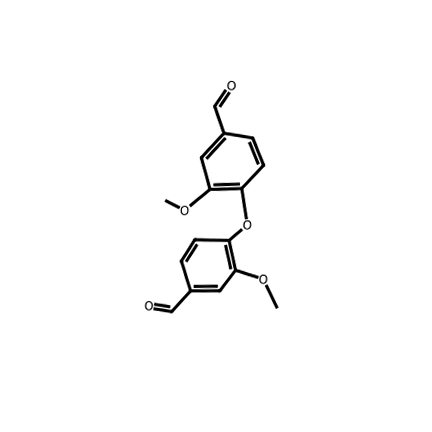 COc1cc(C=O)ccc1Oc1ccc(C=O)cc1OC